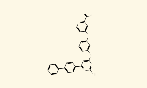 NC(=O)c1cc(Oc2cccc(Nc3cc(-c4ccc(-c5ccccc5)cc4)nc(N)n3)c2)ccn1